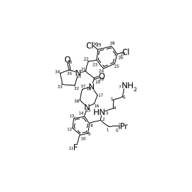 CC(C)CC(NCCCN)c1cc(F)ccc1N1CCN(C(=O)C(Cc2ccc(Cl)cc2Cl)N2CCCC2=O)CC1